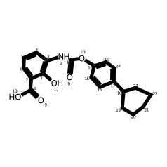 O=C(Nc1cccc(C(=O)O)c1O)Oc1ccc(C2CCCCC2)cc1